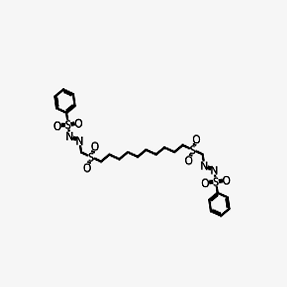 O=S(=O)(CCCCCCCCCCS(=O)(=O)CN=NS(=O)(=O)c1ccccc1)CN=NS(=O)(=O)c1ccccc1